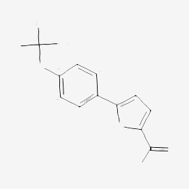 O=C(O)c1ccc(-c2ccc(OC(F)(F)F)cc2)o1